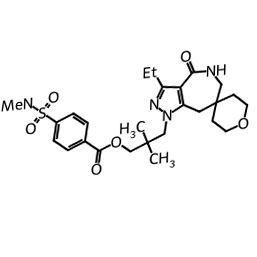 CCc1nn(CC(C)(C)COC(=O)c2ccc(S(=O)(=O)NC)cc2)c2c1C(=O)NCC1(CCOCC1)C2